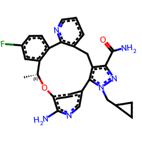 C[C@H]1Oc2cc(cnc2N)-c2c(c(C(N)=O)nn2CC2CC2)Cc2cccnc2-c2ccc(F)cc21